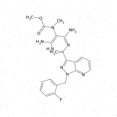 C=C(/N=C(/N)C(=C(N)N)N(C)C(=O)OC)c1nn(Cc2ccccc2F)c2ncccc12